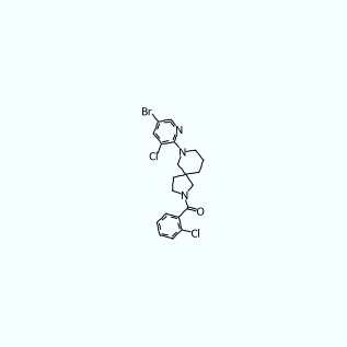 O=C(c1ccccc1Cl)N1CCC2(CCCN(c3ncc(Br)cc3Cl)C2)C1